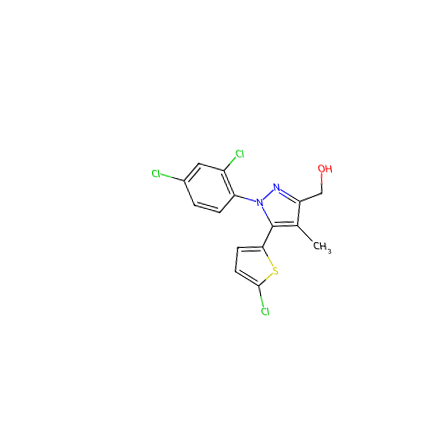 Cc1c(CO)nn(-c2ccc(Cl)cc2Cl)c1-c1ccc(Cl)s1